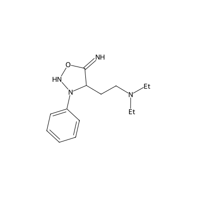 CCN(CC)CCC1C(=N)ONN1c1ccccc1